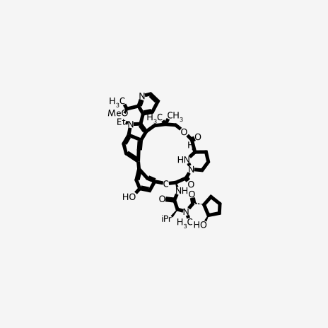 CCn1c(-c2cccnc2[C@H](C)OC)c2c3cc(ccc31)-c1cc(O)cc(c1)C[C@H](NC(=O)[C@H](C(C)C)N(C)C(=O)[C@@H]1CCC[C@H]1O)C(=O)N1CCC[C@H](N1)C(=O)OCC(C)(C)C2